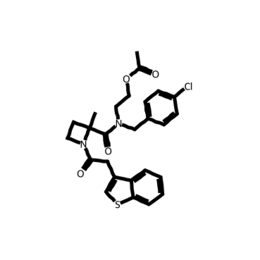 CC(=O)OCCN(Cc1ccc(Cl)cc1)C(=O)C1(C)CCN1C(=O)Cc1csc2ccccc12